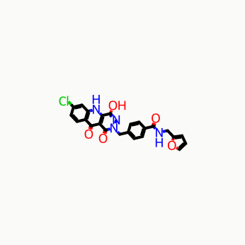 O=C(NCc1ccco1)c1ccc(Cn2nc(O)c3[nH]c4cc(Cl)ccc4c(=O)c3c2=O)cc1